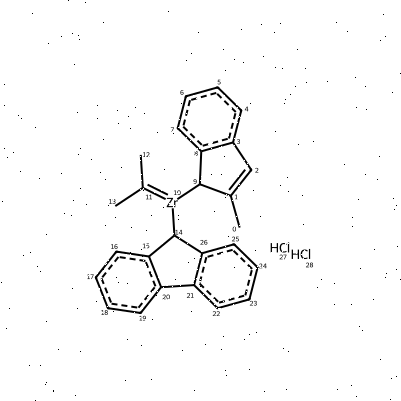 CC1=Cc2ccccc2[CH]1[Zr](=[C](C)C)[CH]1c2ccccc2-c2ccccc21.Cl.Cl